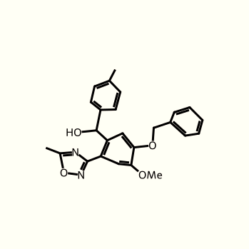 COc1cc(-c2noc(C)n2)c(C(O)c2ccc(C)cc2)cc1OCc1ccccc1